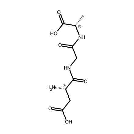 C[C@H](NC(=O)CNC(=O)[C@@H](N)CC(=O)O)C(=O)O